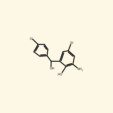 CCc1cc(N)c(O)c(C(O)c2ccc(Cl)cc2)c1